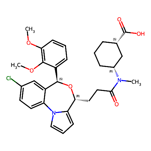 COc1cccc([C@H]2O[C@H](CCC(=O)N(C)[C@@H]3CCC[C@H](C(=O)O)C3)c3cccn3-c3ccc(Cl)cc32)c1OC